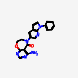 Nc1ncnc2c1C(=O)N(c1cnc3c(ccn3-c3ccccc3)c1)CCO2